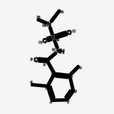 Cc1cccc(C)c1C(=O)NS(=O)(=O)N(C)C